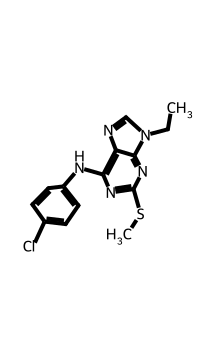 CCn1cnc2c(Nc3ccc(Cl)cc3)nc(SC)nc21